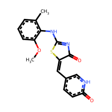 COc1cccc(C)c1NC1=NC(=O)/C(=C\c2ccc(=O)[nH]c2)S1